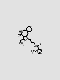 CCc1nn(CCCOC(=O)c2cncn2C)c2c1C(=O)NCC1(CCOCC1)C2